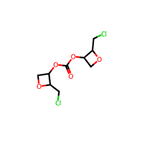 O=C(OC1COC1CCl)OC1COC1CCl